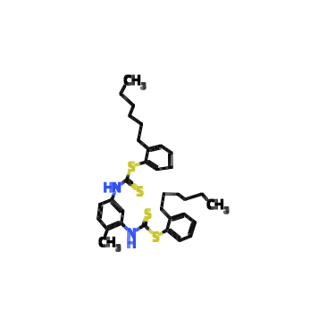 CCCCCCc1ccccc1SC(=S)Nc1ccc(C)c(NC(=S)Sc2ccccc2CCCCCC)c1